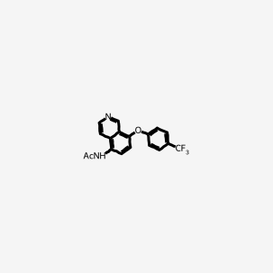 CC(=O)Nc1ccc(Oc2ccc(C(F)(F)F)cc2)c2cnccc12